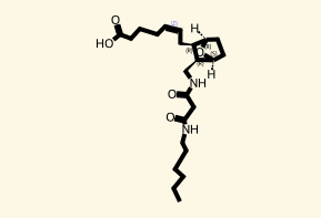 CCCCCCNC(=O)CC(=O)NC[C@H]1[C@@H](C/C=C\CCCC(=O)O)[C@H]2CC[C@@H]1O2